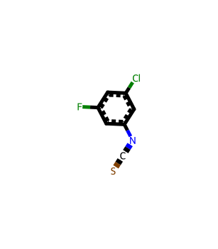 Fc1cc(Cl)cc(N=C=S)c1